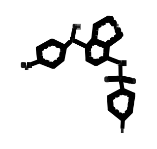 O=[N+]([O-])c1ccc(N(S)c2ccc(NS(=O)(=O)c3ccc(I)cc3)c3ccccc23)cc1